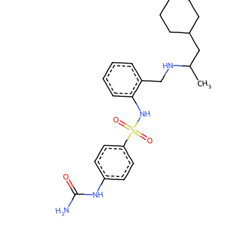 CC(CC1CCCCC1)NCc1ccccc1NS(=O)(=O)c1ccc(NC(N)=O)cc1